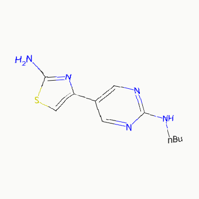 CCCCNc1ncc(-c2csc(N)n2)cn1